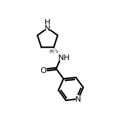 O=C(N[C@@H]1CCNC1)c1ccncc1